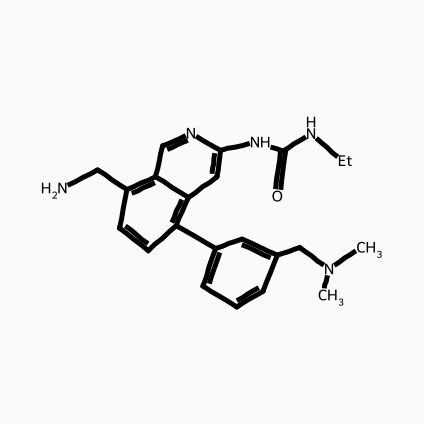 CCNC(=O)Nc1cc2c(-c3cccc(CN(C)C)c3)ccc(CN)c2cn1